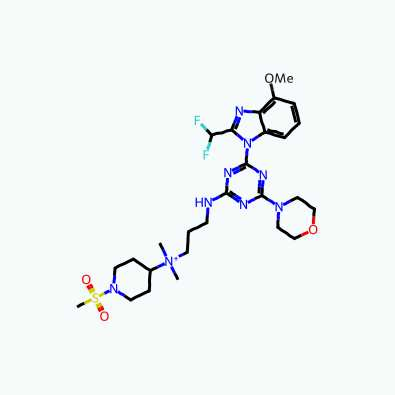 COc1cccc2c1nc(C(F)F)n2-c1nc(NCCC[N+](C)(C)C2CCN(S(C)(=O)=O)CC2)nc(N2CCOCC2)n1